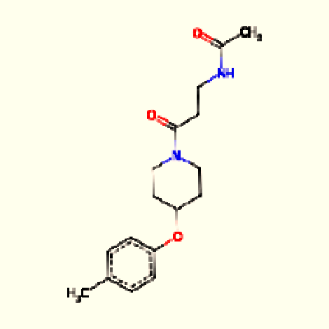 CC(=O)NCCC(=O)N1CCC(Oc2ccc(C)cc2)CC1